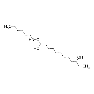 CCCCCCNOC(O)CCCCCCCCC(O)CC